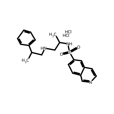 CC(CNCC(C)c1ccccc1)NS(=O)(=O)c1ccc2cnccc2c1.Cl.Cl